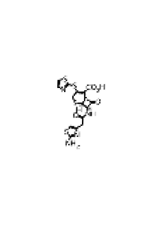 Nc1nc(CC(=O)N[C@@H]2C(=O)N3C(C(=O)O)=C(Sc4nccs4)CS[C@H]23)cs1